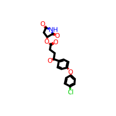 O=C1CC(OC(=O)CCC(=O)c2ccc(Oc3ccc(Cl)cc3)cc2)C(=O)N1